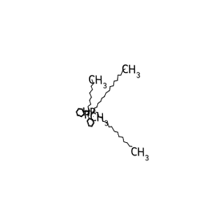 CCCCCCCCCCCCCCCC[PH](C)(CCCCCCCCCCCCCCCC)C(CCCCCCCCC)P(c1ccccc1)c1ccccc1